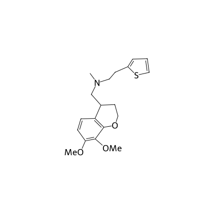 COc1ccc2c(c1OC)OCCC2CN(C)CCc1cccs1